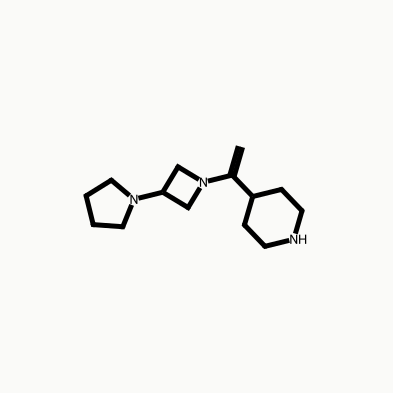 C=C(C1CCNCC1)N1CC(N2CCCC2)C1